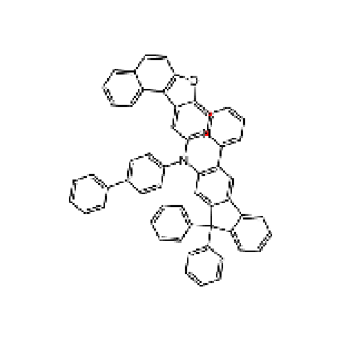 c1ccc(-c2ccc(N(c3cc4c(cn3)oc3ccc5ccccc5c34)c3cc4c(cc3-c3ccccc3)-c3ccccc3C4(c3ccccc3)c3ccccc3)cc2)cc1